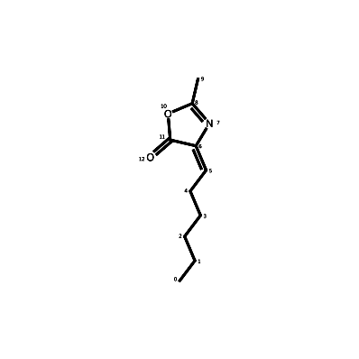 CCCCCC=C1N=C(C)OC1=O